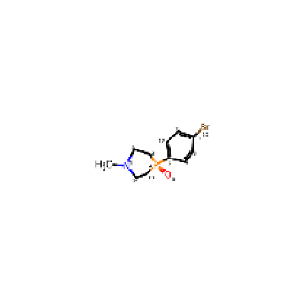 CN1CCP(=O)(c2ccc(Br)cc2)CC1